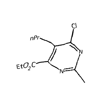 CCCc1c(Cl)nc(C)nc1C(=O)OCC